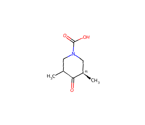 CC1CN(C(=O)O)C[C@@H](C)C1=O